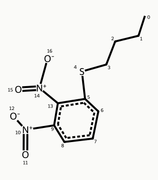 CCCCSc1cccc([N+](=O)[O-])c1[N+](=O)[O-]